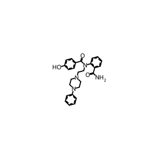 NC(=O)c1ccccc1N(CCN1CCN(c2ccccc2)CC1)C(=O)c1ccc(O)cc1